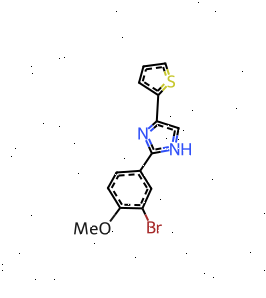 COc1ccc(-c2nc(-c3cccs3)c[nH]2)cc1Br